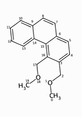 COCc1ccc2ccc3ccccc3c2c1COC